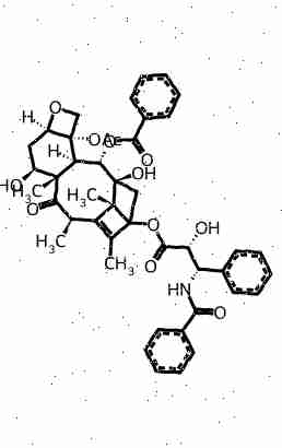 CC(=O)O[C@@]12CO[C@@H]1C[C@H](O)[C@@]1(C)C(=O)[C@H](C)C3=C(C)C4(OC(=O)[C@H](O)[C@@H](NC(=O)c5ccccc5)c5ccccc5)C[C@@](O)([C@@H](OC(=O)c5ccccc5)[C@H]21)[C@@]34C